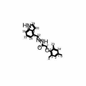 Cc1cc(C)c(OCC(=O)NN=Cc2cccc3[nH]ccc23)c(C)c1